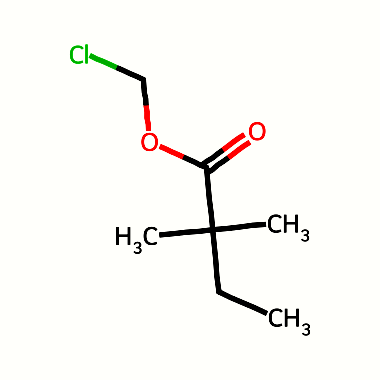 CCC(C)(C)C(=O)OCCl